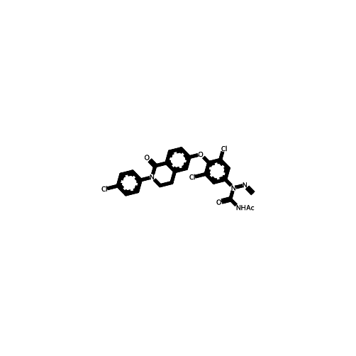 C=NN(C(=O)NC(C)=O)c1cc(Cl)c(Oc2ccc3c(c2)CCN(c2ccc(Cl)cc2)C3=O)c(Cl)c1